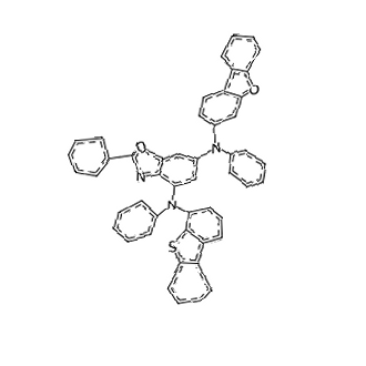 c1ccc(-c2nc3c(N(c4ccccc4)c4cccc5c4sc4ccccc45)cc(N(c4ccccc4)c4ccc5c(c4)oc4ccccc45)cc3o2)cc1